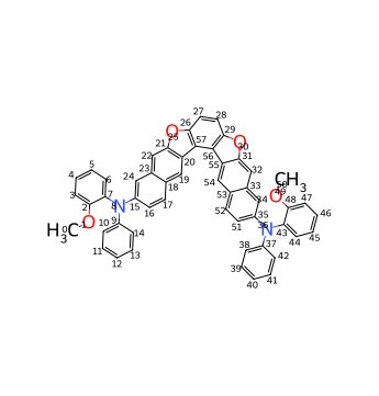 COc1ccccc1N(c1ccccc1)c1ccc2cc3c(cc2c1)oc1ccc2oc4cc5cc(N(c6ccccc6)c6ccccc6OC)ccc5cc4c2c13